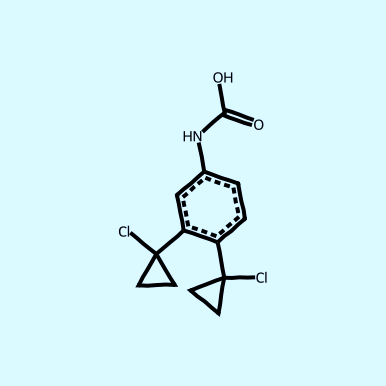 O=C(O)Nc1ccc(C2(Cl)CC2)c(C2(Cl)CC2)c1